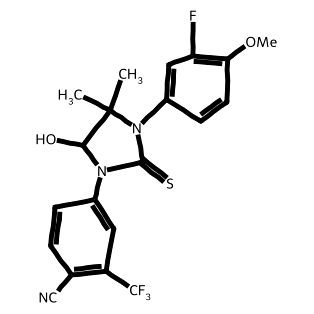 COc1ccc(N2C(=S)N(c3ccc(C#N)c(C(F)(F)F)c3)C(O)C2(C)C)cc1F